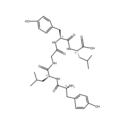 CC(C)C[C@H](NC(=O)[C@H](Cc1ccc(O)cc1)NC(=O)CNC(=O)[C@H](CC(C)C)NC(=O)[C@@H](N)Cc1ccc(O)cc1)C(=O)O